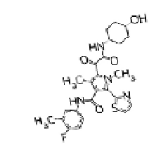 Cc1cc(NC(=O)c2c(C)c(C(=O)C(=O)N[C@H]3CC[C@@H](O)CC3)n(C)c2-c2nccs2)ccc1F